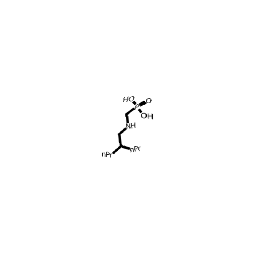 CCCC(CCC)CNCP(=O)(O)O